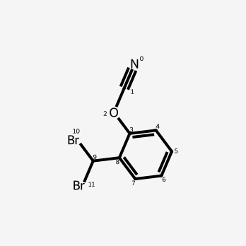 N#COc1ccccc1C(Br)Br